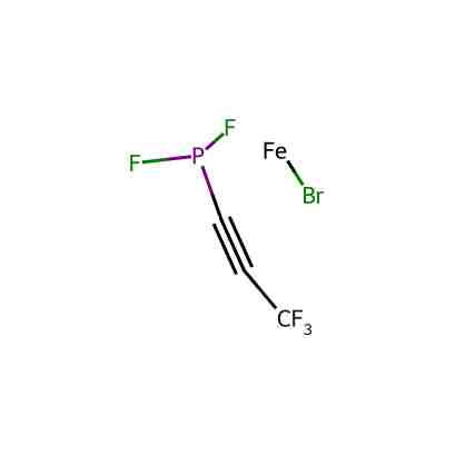 FP(F)C#CC(F)(F)F.[Fe][Br]